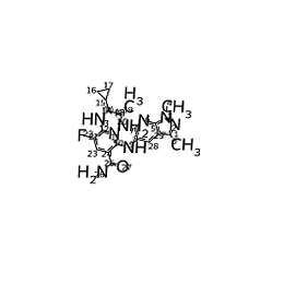 Cc1nn(C)c2ncc(Nc3nc(N[C@H](C4CC4)[C@H](C)N)c(F)cc3C(N)=O)cc12